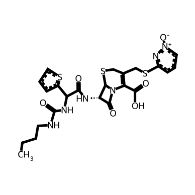 CCCCNC(=O)NC(C(=O)N[C@H]1C(=O)N2C(C(=O)O)=C(CSc3ccc[n+]([O-])n3)CSC12)c1cccs1